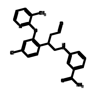 Cc1cccnc1Oc1cc(Cl)ccc1C(CC=O)CNc1cccc(C(N)=O)c1